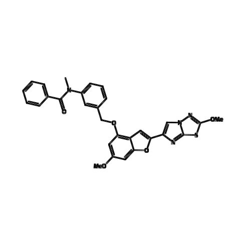 COc1cc(OCc2cccc(N(C)C(=O)c3ccccc3)c2)c2cc(-c3cn4nc(OC)sc4n3)oc2c1